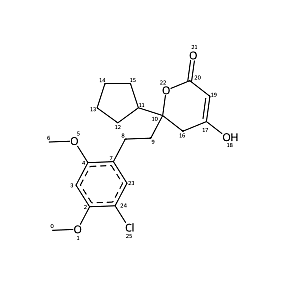 COc1cc(OC)c(CCC2(C3CCCC3)CC(O)=CC(=O)O2)cc1Cl